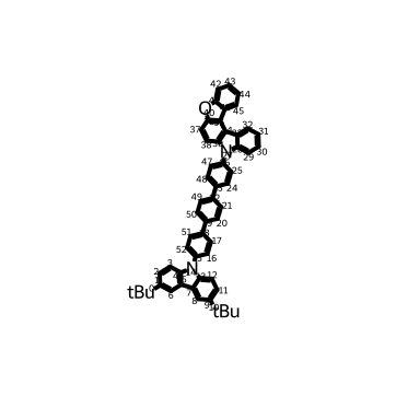 CC(C)(C)c1ccc2c(c1)c1cc(C(C)(C)C)ccc1n2-c1ccc(-c2ccc(-c3ccc(-n4c5ccccc5c5c6c(ccc54)oc4ccccc46)cc3)cc2)cc1